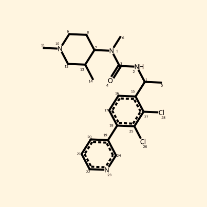 CC(NC(=O)N(C)C1CCN(C)CC1C)c1ccc(-c2cccnc2)c(Cl)c1Cl